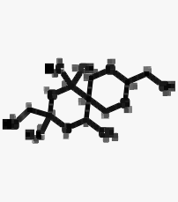 CC1OC(C)(CO)OC(C)(C)C12COC(CO)OC2